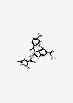 CCn1nc(C)cc1C(=O)Nc1nc2cc(C(N)=O)cc(OC)c2n1C(C)c1ccc(O)cc1